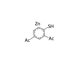 CC(=O)c1ccc(S)c(C(C)=O)c1.[Zn]